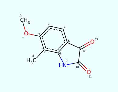 COc1ccc2c(c1C)NC(=O)C2=O